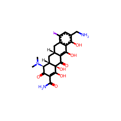 CN(C)[C@@H]1C(=O)C(C(N)=O)=C(O)[C@@]2(O)C(=O)C3=C(O)c4c(O)c(CN)cc(I)c4C[C@H]3C[C@@H]12